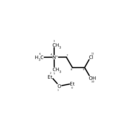 CCOCC.C[N+](C)(C)CCC(O)Cl